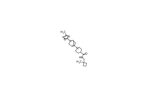 Cc1noc(N2CC3CCC2CC3N2CCC(C(=O)NCC3(C)CCC3)CC2)n1